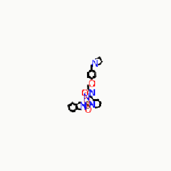 O=S(=O)(N1Cc2ccccc2C1)N1CCCCC1c1noc(COc2ccc(CN3CCCC3)cc2)n1